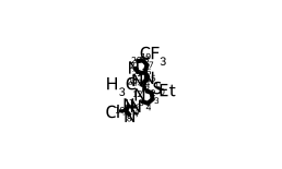 CCSc1ccc(-n2cnc(Cl)n2)nc1-c1nc2cc(C(F)(F)F)cnc2n1C